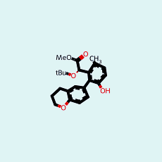 COC(=O)[C@@H](OC(C)(C)C)c1c(C)ccc(O)c1-c1ccc2c(c1)CCCO2